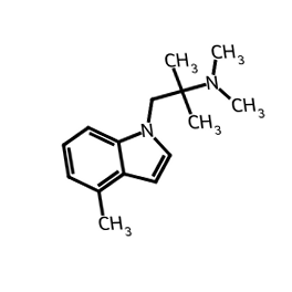 Cc1cccc2c1ccn2CC(C)(C)N(C)C